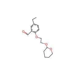 CCc1ccc(OCCOC2CCCCO2)c(C=O)c1